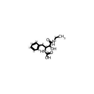 CCNC(=O)C(O)C(Cc1ccccc1)NC(=O)O